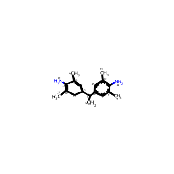 CC1=CC(C(C)c2cc(C)c(N)c(C)c2)CC(C)=C1N